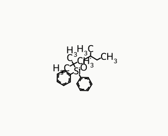 CC[C](C)CO[Si](c1ccccc1)(c1ccccc1)C(C)(C)C